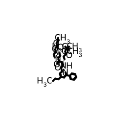 CCCCc1cc(C(=O)N[C@@H](CCC(=O)OC(C)(C)C)C(=O)N2CCN(OC(=O)OCC)CC2)nc(-c2ccccc2)c1